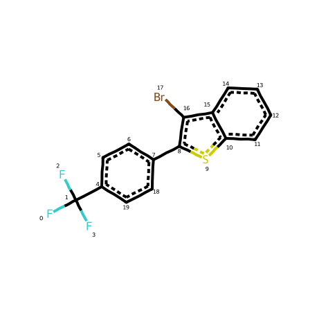 FC(F)(F)c1ccc(-c2sc3ccccc3c2Br)cc1